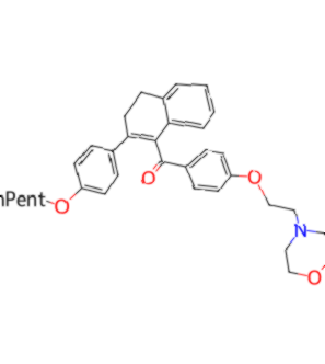 CCCCCOc1ccc(C2=C(C(=O)c3ccc(OCCN4CCOCC4)cc3)c3ccccc3CC2)cc1